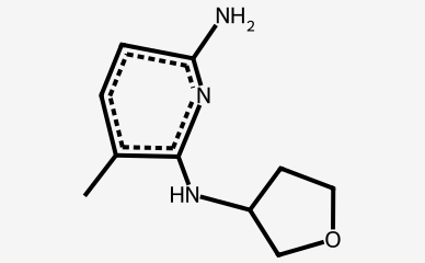 Cc1ccc(N)nc1NC1CCOC1